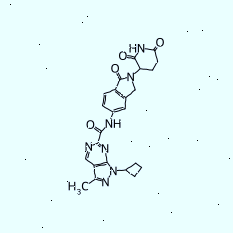 Cc1nn(C2CCC2)c2nc(C(=O)Nc3ccc4c(c3)CN(C3CCC(=O)NC3=O)C4=O)ncc12